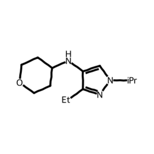 CCc1nn(C(C)C)cc1NC1CCOCC1